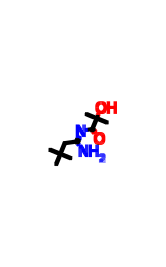 CC(C)(C)C/C(N)=N/C(=O)C(C)(C)O